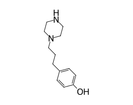 Oc1ccc(CCCN2CCNCC2)cc1